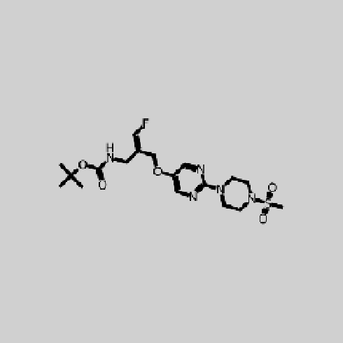 CC(C)(C)OC(=O)NC/C(=C/F)COc1cnc(N2CCN(S(C)(=O)=O)CC2)nc1